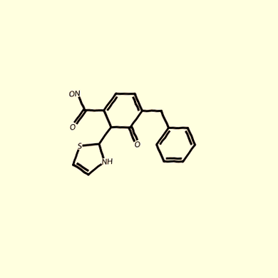 O=NC(=O)C1=CC=C(Cc2ccccc2)C(=O)C1C1NC=CS1